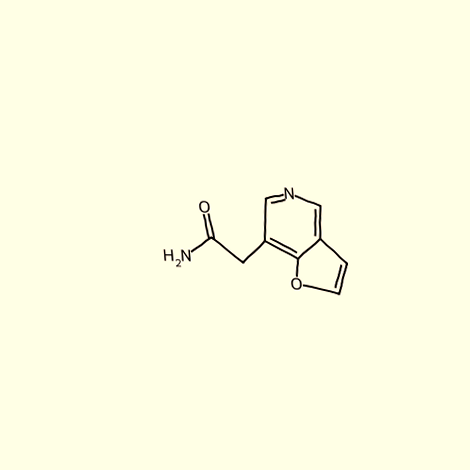 NC(=O)Cc1cncc2ccoc12